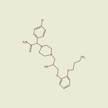 CCCCSc1ccccc1OCC(O)CN1CCN(C(C(N)=O)c2ccc(Cl)cc2)CC1